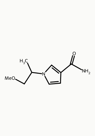 COCC(C)n1ccc(C(N)=O)c1